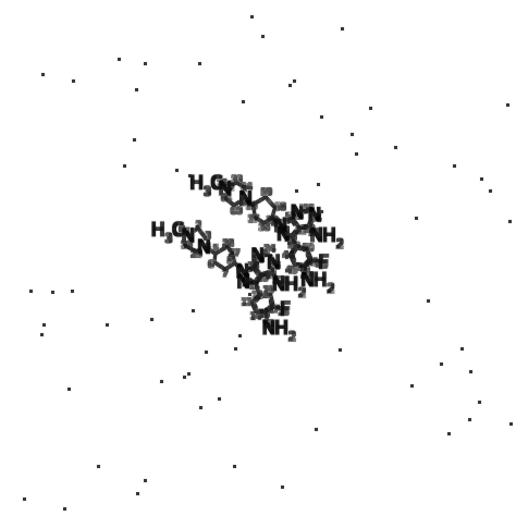 CN1CCN(C2CCC(n3nc(-c4ccc(N)c(F)c4)c4c(N)ncnc43)CC2)CC1.CN1CCN(C2CCC(n3nc(-c4ccc(N)c(F)c4)c4c(N)ncnc43)CC2)CC1